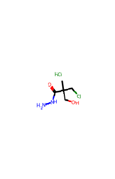 CC(CO)(CCl)C(=O)NN.Cl